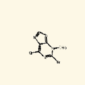 O=Cn1c(Br)nc(Cl)c2ncnc1-2